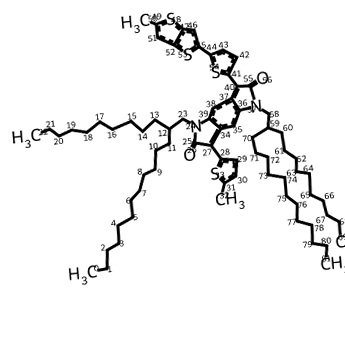 CCCCCCCCCCCCC(CCCCCCCCCC)CN1C(=O)C(c2ccc(C)s2)=c2cc3c(cc21)=C(c1ccc(-c2cc4sc(C)cc4s2)s1)C(=O)N3CC(CCCCCCCCCC)CCCCCCCCCCCC